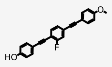 COc1ccc(C#Cc2ccc(C#Cc3ccc(O)cc3)c(F)c2)cc1